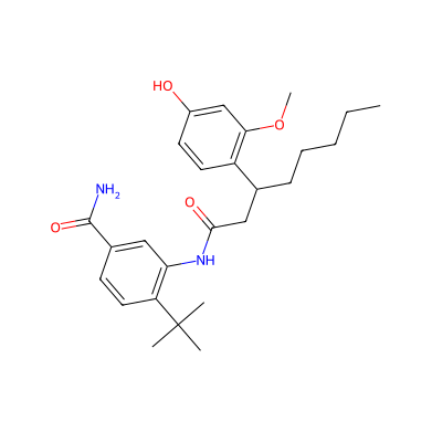 CCCCCC(CC(=O)Nc1cc(C(N)=O)ccc1C(C)(C)C)c1ccc(O)cc1OC